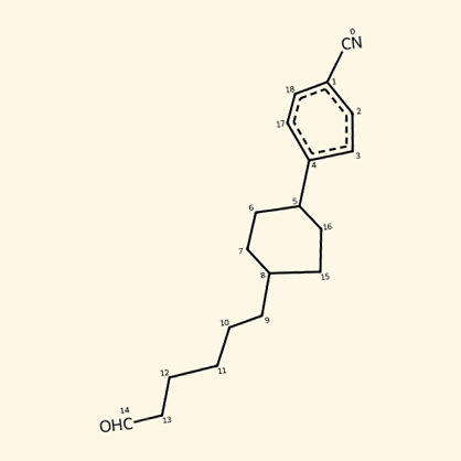 N#Cc1ccc(C2CCC(CCCCCC=O)CC2)cc1